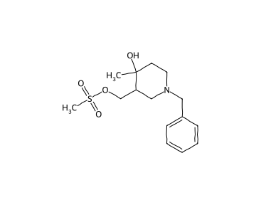 CC1(O)CCN(Cc2ccccc2)CC1COS(C)(=O)=O